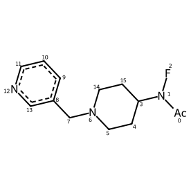 CC(=O)N(F)C1CCN(Cc2cccnc2)CC1